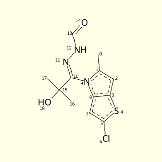 Cc1cc2sc(Cl)cc2n1/C(=N\NC=O)C(C)(C)O